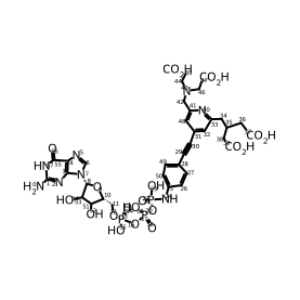 Nc1nc2c(ncn2[C@@H]2O[C@H](COP(=O)(O)OP(=O)(O)OP(=O)(O)Nc3ccc(C#Cc4cc(CC(CC(=O)O)CC(=O)O)nc(CN(CC(=O)O)CC(=O)O)c4)cc3)C(O)C2O)c(=O)[nH]1